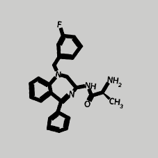 C[C@H](N)C(=O)NC1CN(Cc2cccc(F)c2)c2ccccc2C(c2ccccc2)=N1